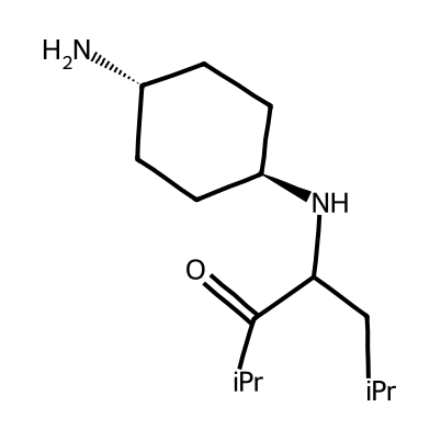 CC(C)CC(N[C@H]1CC[C@H](N)CC1)C(=O)C(C)C